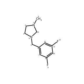 CN1CCN(Cc2cc(F)cc(F)c2)C1